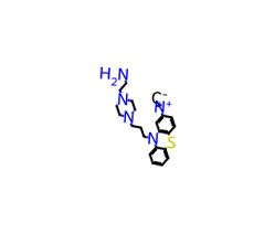 [C-]#[N+]c1ccc2c(c1)N(CCCN1CCN(CCN)CC1)c1ccccc1S2